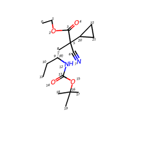 CCOC(=O)C(C#N)(C[C@@H](CC)NC(=O)OC(C)(C)C)C1CC1